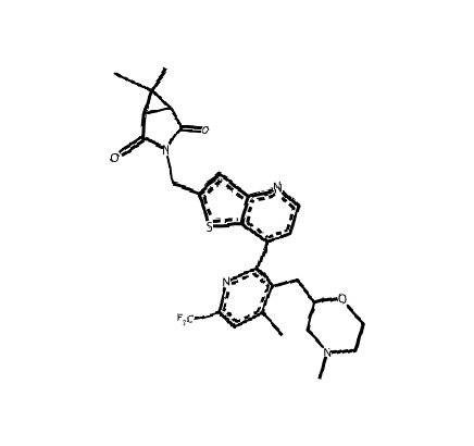 Cc1cc(C(F)(F)F)nc(-c2ccnc3cc(CN4C(=O)C5C(C4=O)C5(C)C)sc23)c1CC1CN(C)CCO1